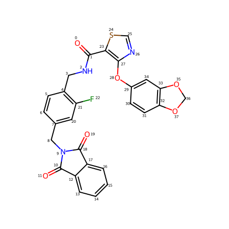 O=C(NCc1ccc(CN2C(=O)c3ccccc3C2=O)cc1F)c1scnc1Oc1ccc2c(c1)OCO2